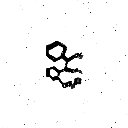 C=C(C(=C)c1ccccc1C(=O)OCC)c1ccccc1